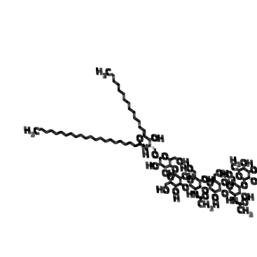 CCCCCCCCCCCCC/C=C/[C@@H](O)[C@H](CO[C@@H]1OC(CO)[C@@H](O[C@@H]2OC(CO)[C@H](O)[C@H](O[C@@H]3OC(CO)[C@@H](O)[C@H](O[C@@H]4OC(CO)[C@H](O)[C@H](O[C@@H]5OC(CO)[C@@H](O[C@H]6OC(C)[C@@H](O)C(O)[C@@H]6O)[C@H](O)C5NC(C)=O)C4O)C3NC(C)=O)C2O)[C@H](O)C1O)NC(=O)CCCCCCCCCCCCCCCCCCCCC